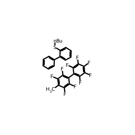 CCCCSc1ccccc1-c1ccccc1.Cc1c(F)c(F)c(-c2c(F)c(F)c(F)c(F)c2F)c(F)c1F